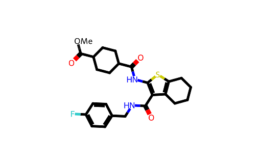 COC(=O)C1CCC(C(=O)Nc2sc3c(c2C(=O)NCc2ccc(F)cc2)CCCC3)CC1